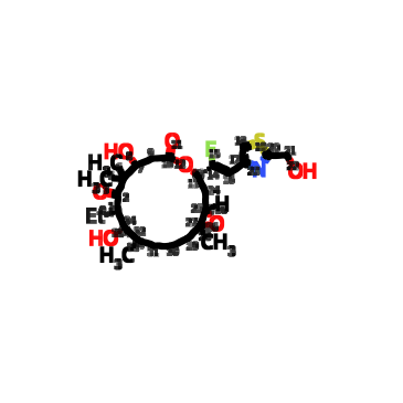 CC[C@H]1C(=O)C(C)(C)C(O)CC(=O)O[C@H](C(F)=Cc2csc(CO)n2)C[C@@H]2O[C@]2(C)CCC[C@H](C)[C@@H]1O